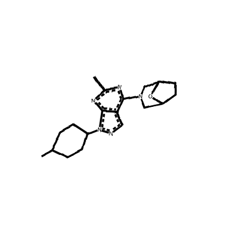 Cc1nc(N2CC3CCC(C2)O3)c2cnn(C3CCC(C)CC3)c2n1